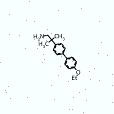 CCOc1ccc(-c2ccc(C(C)(C)CN)cc2)cc1